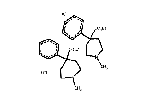 CCOC(=O)C1(c2ccccc2)CCN(C)CC1.CCOC(=O)C1(c2ccccc2)CCN(C)CC1.Cl.Cl